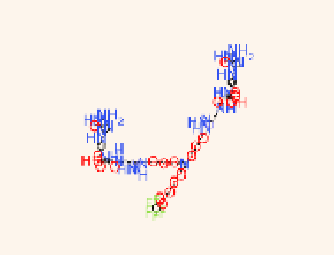 N=N/C(=C\NCCOCCOCCOCCN(CCOCCOCCOCCN/C=C(/CCCCNC(=O)CC[C@H](NC(=O)c1ccc(NCc2cnc3nc(N)[nH]c(=O)c3n2)cc1)C(=O)O)N=N)CCOCCOCCOCCC(=O)OC1=C(F)C(F)=C(F)C(F)C1F)CCCCNC(=O)CC[C@H](NC(=O)c1ccc(NCc2cnc3nc(N)[nH]c(=O)c3n2)cc1)C(=O)O